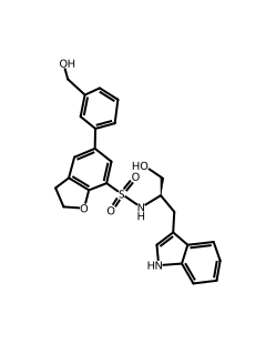 O=S(=O)(N[C@@H](CO)Cc1c[nH]c2ccccc12)c1cc(-c2cccc(CO)c2)cc2c1OCC2